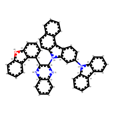 c1ccc2c(c1)ccc1c2c2ccc(-n3c4ccccc4c4ccccc43)cc2n1-c1nc2ccccc2nc1-c1cccc2oc3ccccc3c12